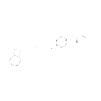 C=CC(=O)Oc1ccc(COCCCOC2Cc3ccccc32)cc1